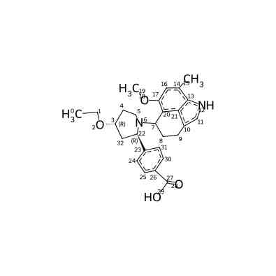 CCO[C@@H]1CCN(C2CCc3c[nH]c4c(C)cc(OC)c2c34)[C@@H](c2ccc(C(=O)O)cc2)C1